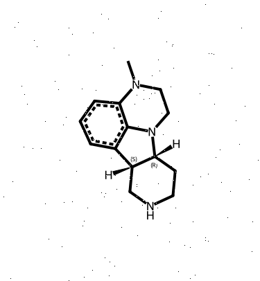 CN1CCN2c3c(cccc31)[C@H]1CNCC[C@H]12